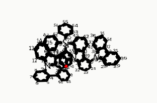 c1ccc(-c2ccccc2-n2c3ccccc3c3cc(-n4c5cccc(-n6c7ccccc7c7ccccc76)c5c5cccc([Si](c6ccccc6)(c6ccccc6)c6ccccc6)c54)ccc32)cc1